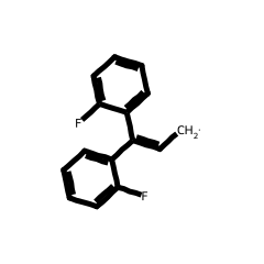 [CH2]C=C(c1ccccc1F)c1ccccc1F